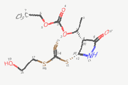 CC(OC(=O)OCC(Cl)(Cl)Cl)[C@@H]1C(=O)N[C@@H]1SC(=S)SCCO